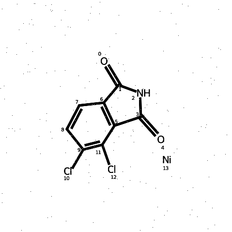 O=C1NC(=O)c2c1ccc(Cl)c2Cl.[Ni]